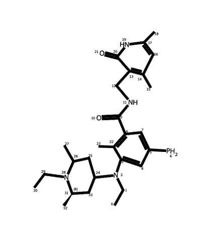 CCN(c1cc(P)cc(C(=O)NCc2c(C)cc(C)[nH]c2=O)c1C)C1CC(C)N(CC)[C@H](C)C1